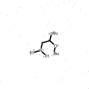 CCCCC(CN(CC)CC)OC(C)CC